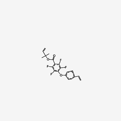 C=Cc1ccc(Oc2c(F)c(F)c(C(=O)OC(C)(C)C=C)c(F)c2F)cc1